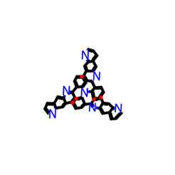 c1ccc(N(c2ccccc2-c2ccc3cc4ncccc4cc3n2)c2ccccc2-c2ccc3cc4ncccc4cc3n2)c(-c2ccc3cc4ncccc4cc3n2)c1